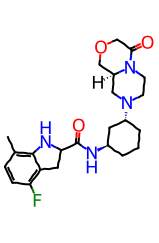 Cc1ccc(F)c2c1NC(C(=O)N[C@@H]1CCC[C@@H](N3CCN4C(=O)COC[C@@H]4C3)C1)C2